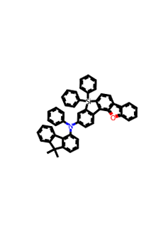 CC1(C)c2ccccc2-c2c(N(c3ccccc3)c3ccc4c(c3)[Si](c3ccccc3)(c3ccccc3)c3ccc5c(oc6ccccc65)c3-4)cccc21